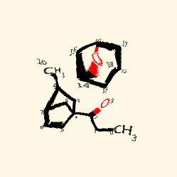 CCC(=O)C12C=CC(C1)C(C)C2.c1cc2cc(c1)O2